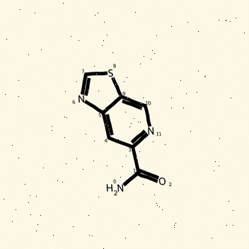 NC(=O)c1cc2ncsc2cn1